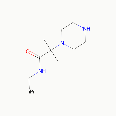 CC(C)CNC(=O)C(C)(C)N1CCNCC1